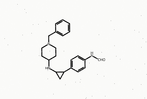 O=CNc1ccc(C2CC2NC2CCN(Cc3ccccc3)CC2)cc1